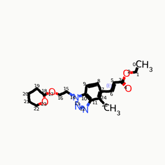 CCOC(=O)/C=C/c1ccc2c(nnn2CCOC2CCCCO2)c1C